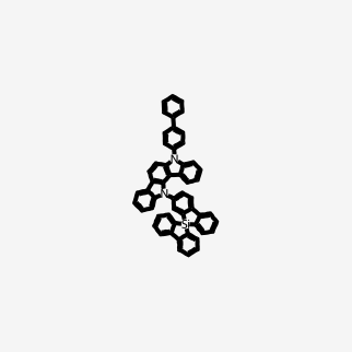 c1ccc(-c2ccc(-n3c4ccccc4c4c3ccc3c5ccccc5n(-c5ccc6c(c5)[Si]5(c7ccccc7-c7ccccc75)c5ccccc5-6)c34)cc2)cc1